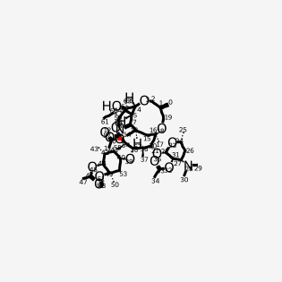 C=C1CO[C@@H]2[C@@H](C)/C(=N/OC(C)=O)[C@H](C)C[C@@](C)(OC1)[C@H](O[C@@H]1O[C@H](C)C[C@H](N(C)C)[C@H]1OC(C)=O)[C@@H](C)[C@H](O[C@@H]1C[C@@H](C)[C@H](OC(C)=O)[C@](C)(OC)C1)[C@@H](C)C(=O)O[C@H](CC)[C@@]2(C)O